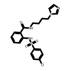 O=C(NCCCCn1ccnc1)c1ccccc1NS(=O)(=O)c1ccc(Cl)cc1